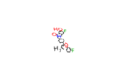 CC(Oc1cccc(F)c1)C1CCC(CN2Cc3cc(F)c(O)cc3C2=O)CC1